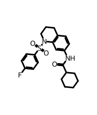 O=C(Nc1ccc2c(c1)N(S(=O)(=O)c1ccc(F)cc1)CCC2)C1CCCCC1